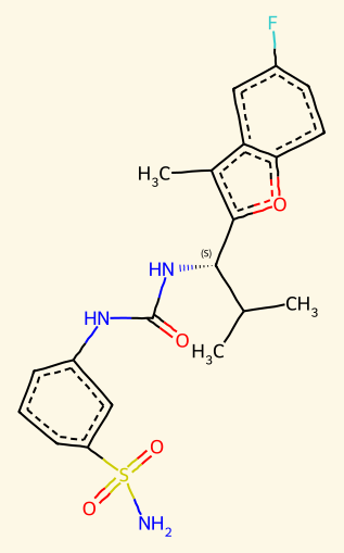 Cc1c([C@@H](NC(=O)Nc2cccc(S(N)(=O)=O)c2)C(C)C)oc2ccc(F)cc12